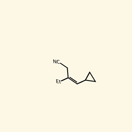 CCC(=CC1CC1)CC#N